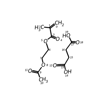 C=C(C)C(=O)OCCOC(C)=O.O=C(O)CCC(=O)O